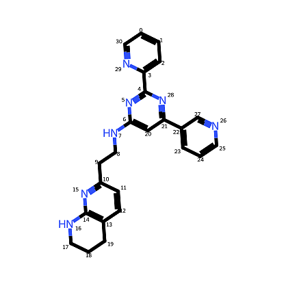 c1ccc(-c2nc(NCCc3ccc4c(n3)NCCC4)cc(-c3cccnc3)n2)nc1